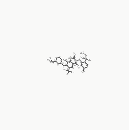 CCS(=O)(=O)c1ccc(Cl)cc1Cn1c(=O)[nH]c2c(Cl)c(CN3CCCC(NC)C3)c(C(F)(F)F)cc2c1=O